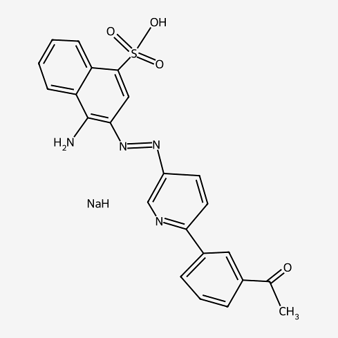 CC(=O)c1cccc(-c2ccc(N=Nc3cc(S(=O)(=O)O)c4ccccc4c3N)cn2)c1.[NaH]